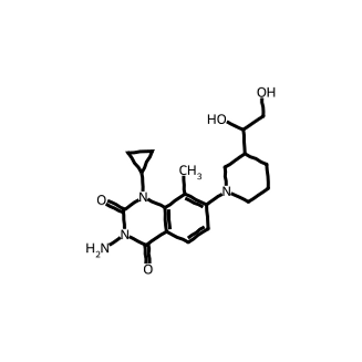 Cc1c(N2CCCC(C(O)CO)C2)ccc2c(=O)n(N)c(=O)n(C3CC3)c12